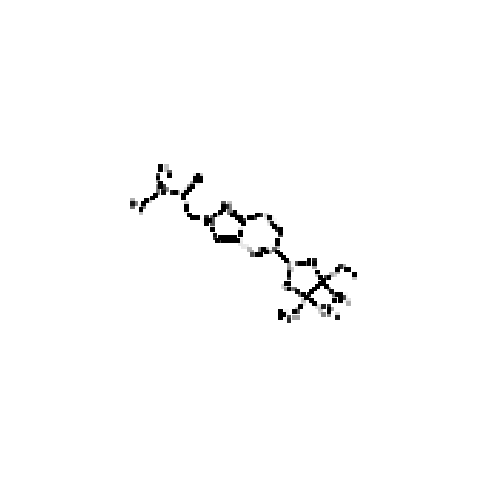 CN(C)C(=O)Cn1cc2cc(B3OC(C)(C)C(C)(C)O3)ccc2n1